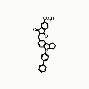 O=C(O)c1ccc2c(c1)C(=O)C(Cc1ccc3c(c1)C1CCCC1N3c1ccc(-c3ccccc3)cc1)C2=O